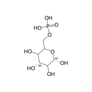 O=P(O)(O)OCC1O[C@H](O)C(O)[C@H](O)C1O